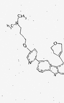 CN(C)CCCOc1ccc(-c2ccc3nc4cccc(C5=CCOCC5)c4n3c2)nc1